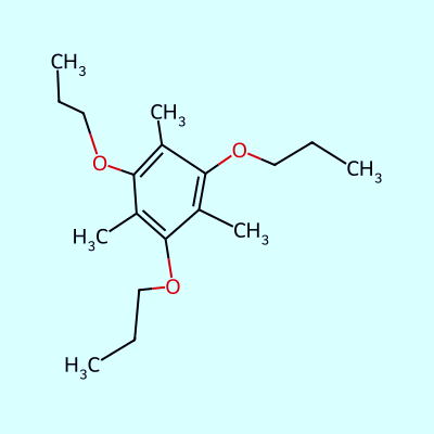 CCCOc1c(C)c(OCCC)c(C)c(OCCC)c1C